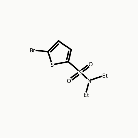 CCN(CC)S(=O)(=O)c1ccc(Br)s1